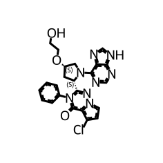 O=c1c2c(Cl)ccn2nc([C@@H]2C[C@H](OCCO)CN2c2ncnc3[nH]cnc23)n1-c1ccccc1